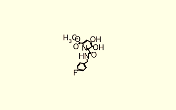 COC(=O)c1cc(O)c(O)c(C(=O)NCc2ccc(F)cc2)n1